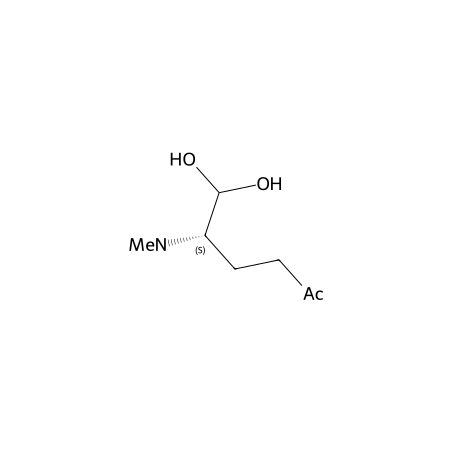 CN[C@@H](CCC(C)=O)C(O)O